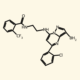 Bc1cnn2c(NCCNC(=O)c3ccccc3C(F)(F)F)cc(-c3ccccc3Cl)nc12